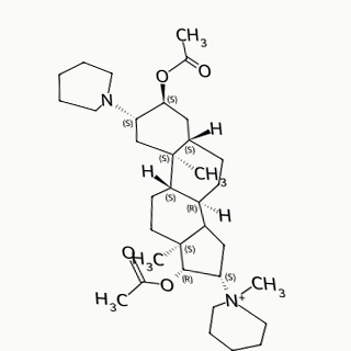 CC(=O)O[C@H]1C[C@@H]2CC[C@H]3C4C[C@H]([N+]5(C)CCCCC5)[C@H](OC(C)=O)[C@@]4(C)CC[C@@H]3[C@@]2(C)C[C@@H]1N1CCCCC1